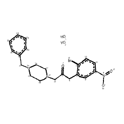 Cl.Cl.O=C(Cc1cc([N+](=O)[O-])ccc1Br)CN1CCN(Cc2ccccc2)CC1